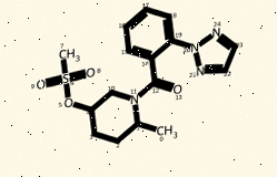 CC1CCC(OS(C)(=O)=O)CN1C(=O)c1ccccc1-n1nccn1